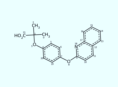 CC(C)(Oc1ccc(Oc2ccc3ccccc3n2)cc1)C(=O)O